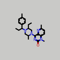 CCC1CN(c2nc(=O)n(C)c3ccc(C)nc23)C(C)CN1C(CC)c1ccc(C)cc1